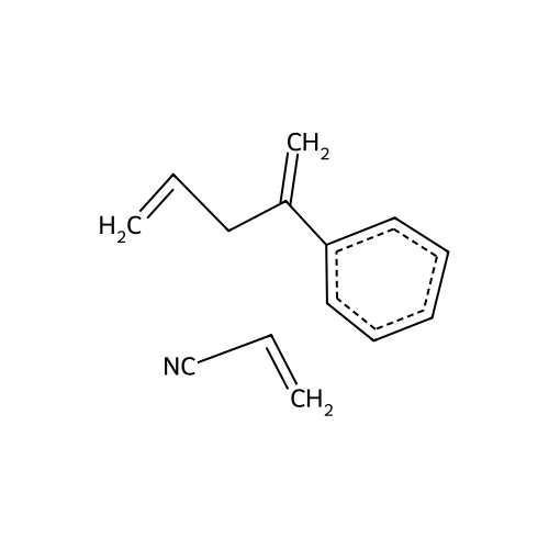 C=CC#N.C=CCC(=C)c1ccccc1